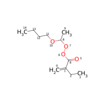 C=C(CC)C(=O)OOC(C)OCCCC